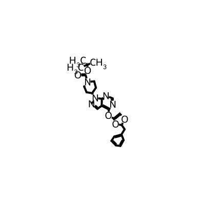 CC(C)(C)OC(=O)N1CCC(n2ncc3c(OC4=COC(Cc5ccccc5)O4)ncnc32)CC1